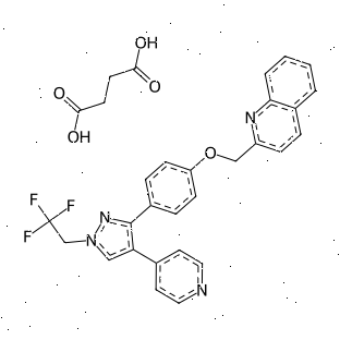 FC(F)(F)Cn1cc(-c2ccncc2)c(-c2ccc(OCc3ccc4ccccc4n3)cc2)n1.O=C(O)CCC(=O)O